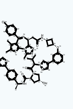 Cc1ncoc1-c1ccc([C@H](C)NC(=O)[C@@H]2C[C@@H](O)CN2C(=O)C(C(C)C)n2cc(-c3cccc(O[C@H]4C[C@@H](NC(=O)C[C@@H]5N=C(c6ccc(Cl)cc6)c6c(sc(C)c6C)-n6c(C)nnc65)C4)c3)cn2)cc1